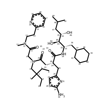 CCC(C)(CC)CN(CC(=O)N(C)CCc1ccccn1)C(=O)C[C@@H](Cc1csc(N)n1)C(=O)N[C@@H](CC1CCCCC1)[C@@H](O)[C@@H](O)CC(C)C